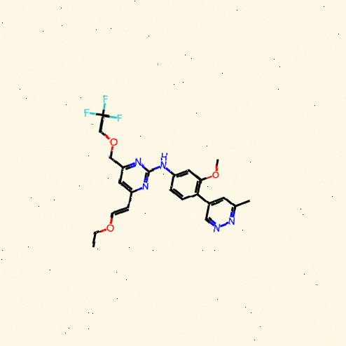 CCOC=Cc1cc(COCC(F)(F)F)nc(Nc2ccc(-c3cnnc(C)c3)c(OC)c2)n1